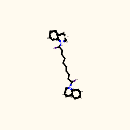 IC(CCCCCCCCC(I)[n+]1cccc2ccccc21)[n+]1cccc2ccccc21